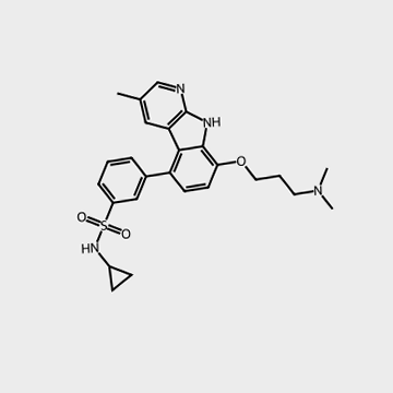 Cc1cnc2[nH]c3c(OCCCN(C)C)ccc(-c4cccc(S(=O)(=O)NC5CC5)c4)c3c2c1